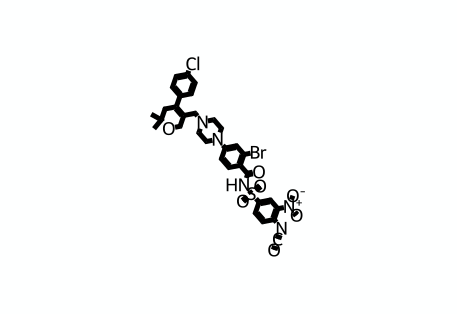 CC1(C)CC(c2ccc(Cl)cc2)=C(CN2CCN(c3ccc(C(=O)NS(=O)(=O)c4ccc(N=C=O)c([N+](=O)[O-])c4)c(Br)c3)CC2)CO1